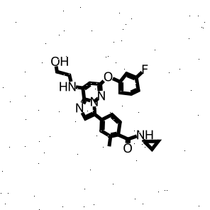 Cc1cc(-c2cnc3c(NCCO)cc(Oc4cccc(F)c4)nn23)ccc1C(=O)NC1CC1